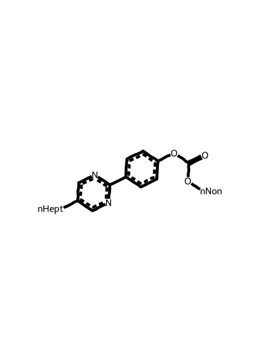 CCCCCCCCCOC(=O)Oc1ccc(-c2ncc(CCCCCCC)cn2)cc1